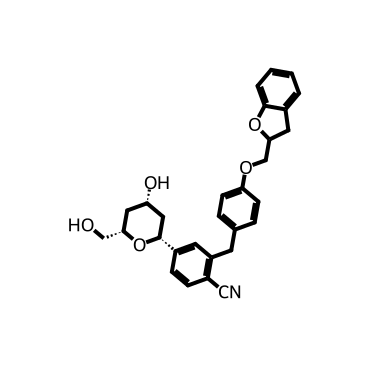 N#Cc1ccc([C@H]2C[C@@H](O)C[C@@H](CO)O2)cc1Cc1ccc(OCC2Cc3ccccc3O2)cc1